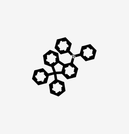 c1ccc(B(c2ccccc2)c2cccc3c2-c2ccccc2C3(c2ccccc2)c2ccccc2)cc1